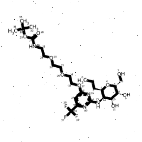 CCC[C@H]1O[C@H](CO)[C@H](O)[C@H](O)[C@H]1Nc1nc(OCCOCCOCCNC(=O)OC(C)(C)C)cc(C(F)(F)F)n1